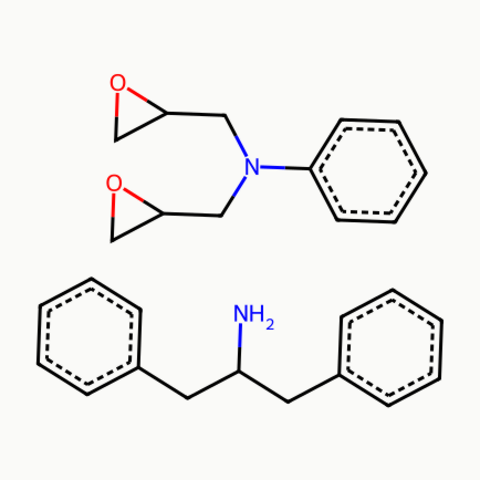 NC(Cc1ccccc1)Cc1ccccc1.c1ccc(N(CC2CO2)CC2CO2)cc1